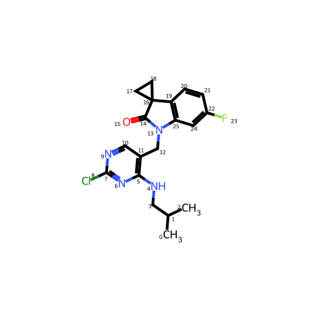 CC(C)CNc1nc(Cl)ncc1CN1C(=O)C2(CC2)c2ccc(F)cc21